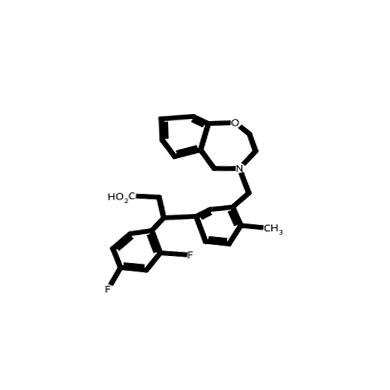 Cc1ccc(C(CC(=O)O)c2ccc(F)cc2F)cc1CN1CCOc2ccccc2C1